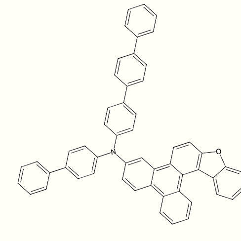 c1ccc(-c2ccc(-c3ccc(N(c4ccc(-c5ccccc5)cc4)c4ccc5c6ccccc6c6c(ccc7oc8ccccc8c76)c5c4)cc3)cc2)cc1